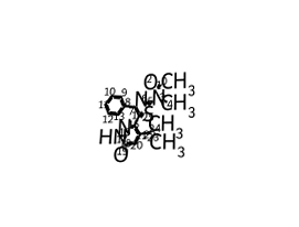 CC(=O)N(C)c1nc(-c2ccccc2)c(-c2n[nH]c(=O)cc2C(C)C)s1